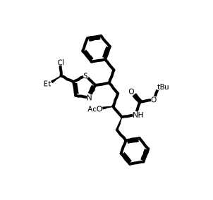 CC[C@@H](Cl)c1cnc(C(Cc2ccccc2)C[C@H](OC(C)=O)[C@H](Cc2ccccc2)NC(=O)OC(C)(C)C)s1